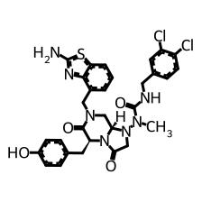 CN(C(=O)NCc1ccc(Cl)c(Cl)c1)N1CC(=O)N2[C@@H](Cc3ccc(O)cc3)C(=O)N(Cc3cccc4sc(N)nc34)C[C@@H]21